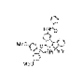 CCCC1(CCC)c2ccccc2-c2c1c1c(c3ccc(NC(=O)c4ccccc4)cc23)OC(c2ccc(OC)cc2)(c2ccc(OC)cc2)C=C1